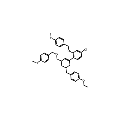 CCOc1ccc(CC2CC(c3ccc(Cl)cc3OCc3ccc(OC)cc3)=CC(COCc3ccc(OC)cc3)C2)cc1